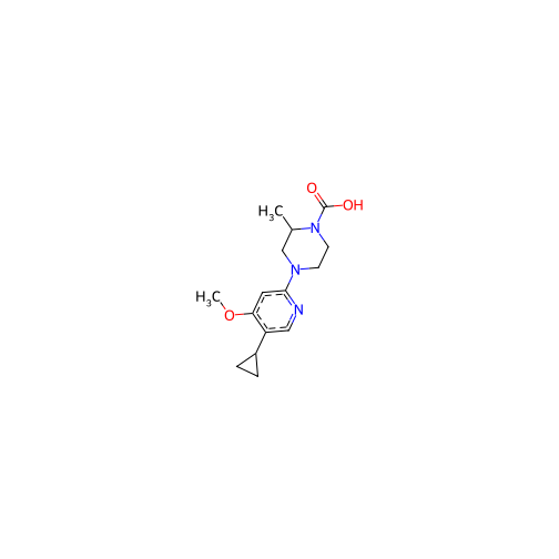 COc1cc(N2CCN(C(=O)O)C(C)C2)ncc1C1CC1